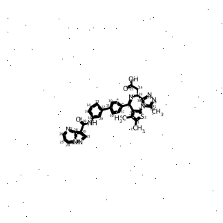 Cc1sc2c(c1C)C(c1ccc(-c3cccc(NC(=O)c4cnn5cccnc45)c3)cc1)=N[C@@H](CC(=O)O)c1nnc(C)n1-2